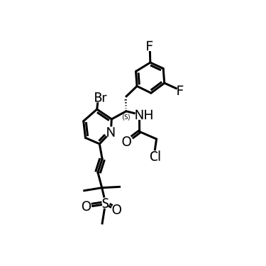 CC(C)(C#Cc1ccc(Br)c([C@H](Cc2cc(F)cc(F)c2)NC(=O)CCl)n1)S(C)(=O)=O